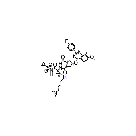 COc1ccc2c(O[C@@H]3C[C@@H](C(=O)NC4(C(=O)NS(=O)(=O)C5CC5)C[C@H]4/C=C\CCCCN(C)C)N(C=O)C3)nc(-c3ccc(F)cc3)nc2c1C